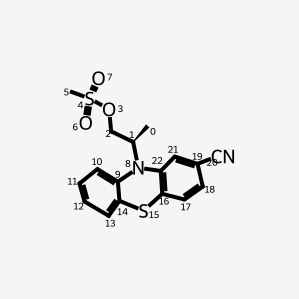 C[C@H](COS(C)(=O)=O)N1c2ccccc2Sc2ccc(C#N)cc21